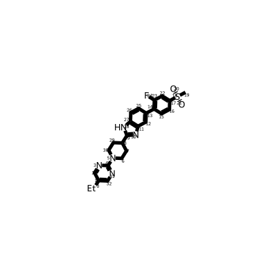 CCc1cnc(N2CCC(c3nc4cc(-c5ccc(S(C)(=O)=O)cc5F)ccc4[nH]3)CC2)nc1